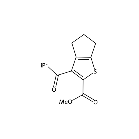 COC(=O)c1sc2c(c1C(=O)C(C)C)CCC2